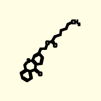 CCCCCCC(=O)OCCc1ccc2c(c1)SCc1ccccc1C2=O